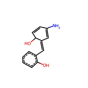 NC1=CC(=Cc2ccccc2O)C(O)C=C1